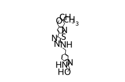 CC1(C)Cc2nc3sc4c(NCCc5ccc6[nH]c(CO)nc6c5)ncnc4c3cc2CO1